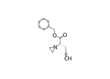 C#CC[C@@H](C(=O)OCc1ccccc1)N1CC1